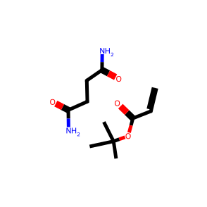 C=CC(=O)OC(C)(C)C.NC(=O)CCC(N)=O